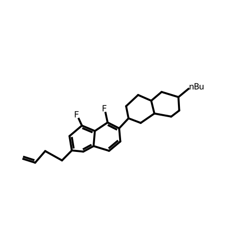 C=CCCc1cc(F)c2c(F)c(C3CCC4CC(CCCC)CCC4C3)ccc2c1